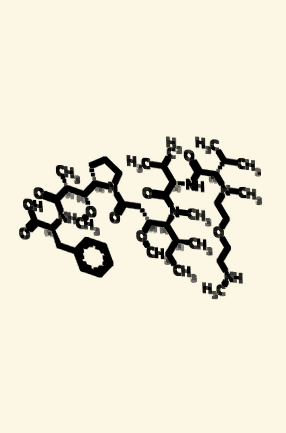 CC[C@H](C)[C@@H]([C@@H](CC(=O)N1CCC[C@H]1[C@H](OC)[C@@H](C)C(=O)N[C@@H](Cc1ccccc1)C(=O)O)OC)N(C)C(=O)[C@@H](NC(=O)[C@H](C(C)C)N(C)CCOCCNC)C(C)C